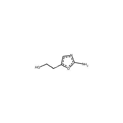 Nc1ncc(CCO)o1